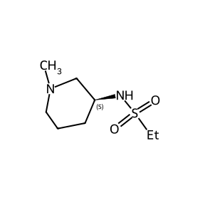 CCS(=O)(=O)N[C@H]1CCCN(C)C1